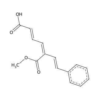 COC(=O)C(C=Cc1ccccc1)=CC=CC(=O)O